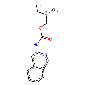 CC[C@H](C)COC(=O)Nc1cc2ccccc2cn1